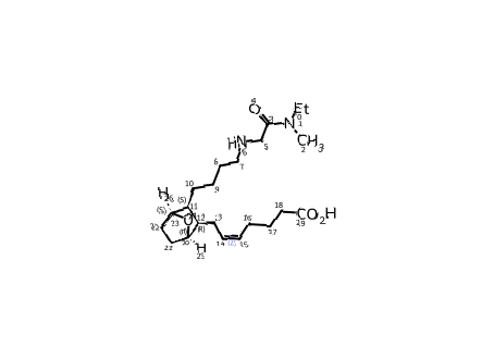 CCN(C)C(=O)CNCCCC[C@H]1[C@@H](C/C=C\CCCC(=O)O)[C@H]2CC[C@@H]1O2